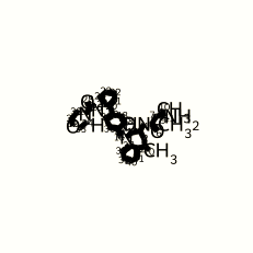 CC1CC(NC(=O)CC(C)(C)N)C(=O)N(Cc2ccc(-c3ccccc3NC(=O)N3CCOCC3)cc2)c2ccccc21